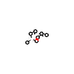 c1ccc(-c2nc(-c3ccccc3)nc(-c3cccc4c3oc3c(-n5c6ccccc6c6c7oc8ccccc8c7ccc65)cccc34)n2)cc1